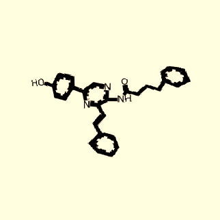 O=C(CCCc1ccccc1)Nc1ncc(-c2ccc(O)cc2)nc1/C=C/c1ccccc1